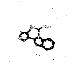 CC(C(=O)O)n1c(-c2nonc2N)nc2ccccc21